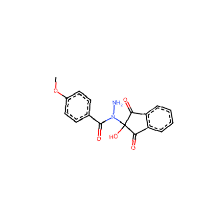 COc1ccc(C(=O)N(N)C2(O)C(=O)c3ccccc3C2=O)cc1